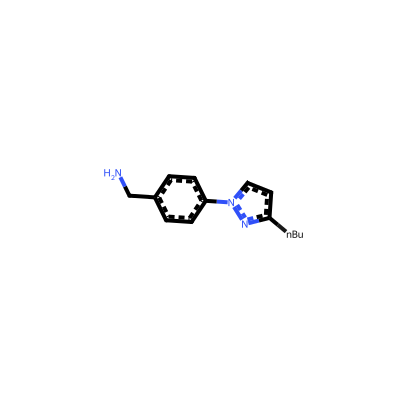 CCCCc1c[c]n(-c2ccc(CN)cc2)n1